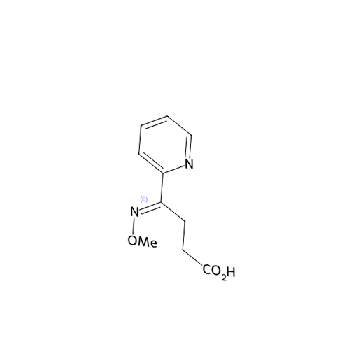 CO/N=C(\CCC(=O)O)c1ccccn1